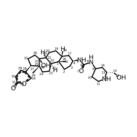 C[C@]12CC[C@H](NC(=O)NC3CCN[C@@H](CO)C3)C[C@H]1CC[C@@H]1[C@@H]2CC[C@]2(C)[C@@H](c3ccc(=O)oc3)CC[C@]12O